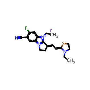 CCN1CCSC1=CC=C1CCn2c1[n+](CC)c1cc(F)c(C#N)cc12.[I-]